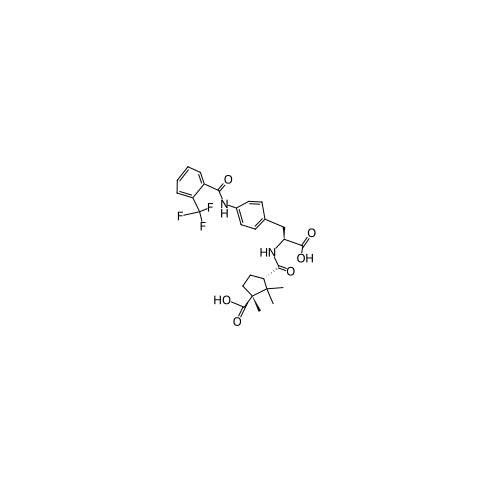 CC1(C)[C@@H](C(=O)N[C@@H](Cc2ccc(NC(=O)c3ccccc3C(F)(F)F)cc2)C(=O)O)CC[C@@]1(C)C(=O)O